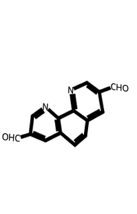 O=Cc1cnc2c(ccc3cc(C=O)cnc32)c1